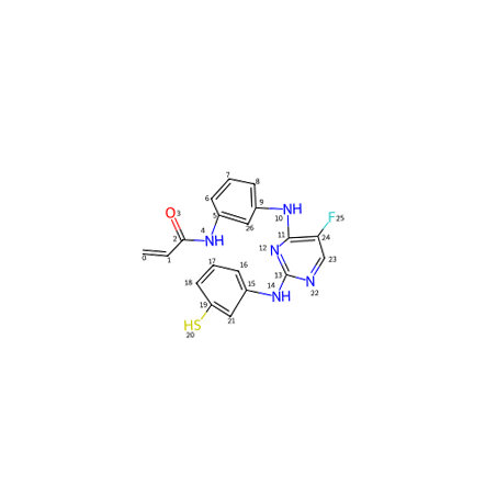 C=CC(=O)Nc1cccc(Nc2nc(Nc3cccc(S)c3)ncc2F)c1